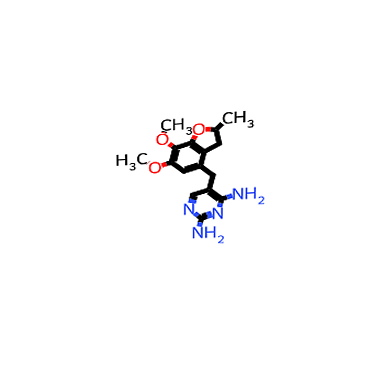 COc1cc(Cc2cnc(N)nc2N)c2c(c1OC)OC(C)C2